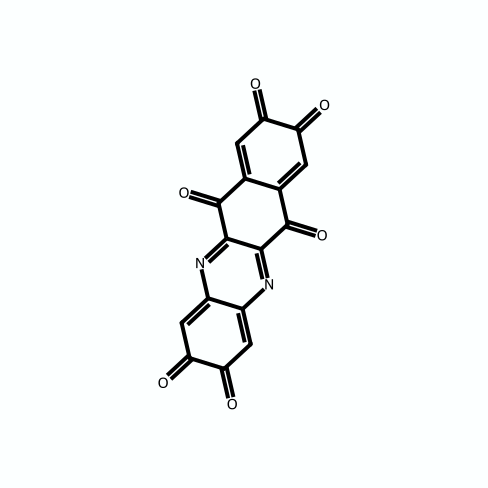 O=c1cc2nc3c(=O)c4cc(=O)c(=O)cc4c(=O)c3nc2cc1=O